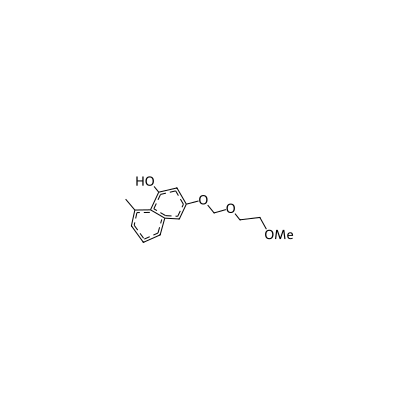 COCCOCOc1cc(O)c2c(C)cccc2c1